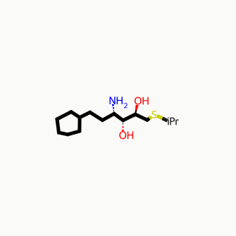 CC(C)SC[C@H](O)[C@H](O)[C@@H](N)CCC1CCCCC1